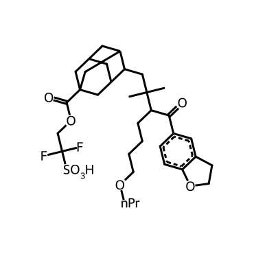 CCCOCCCCC(C(=O)c1ccc2c(c1)CCO2)C(C)(C)CC1C2CC3CC1CC(C(=O)OCC(F)(F)S(=O)(=O)O)(C3)C2